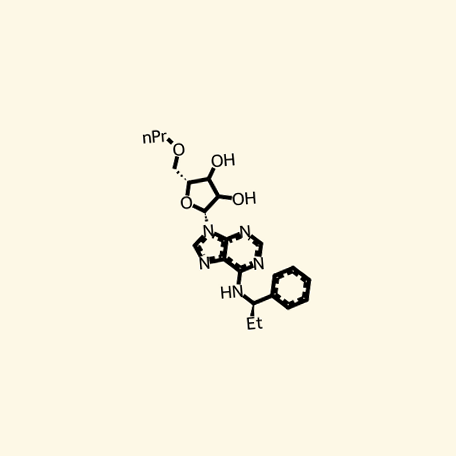 CCCOC[C@H]1O[C@@H](n2cnc3c(N[C@H](CC)c4ccccc4)ncnc32)C(O)C1O